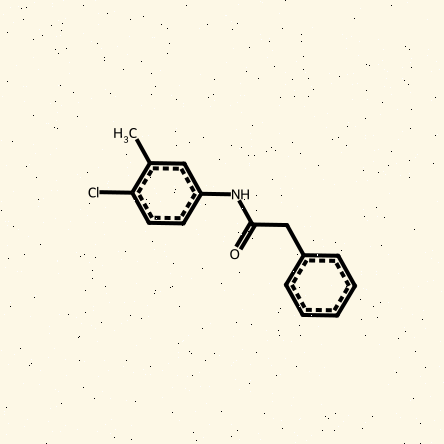 Cc1cc(NC(=O)Cc2ccccc2)ccc1Cl